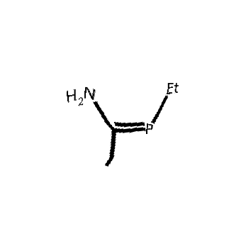 CCP=C(C)N